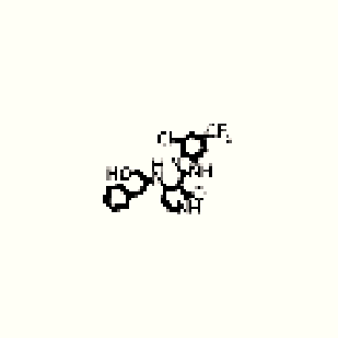 O=c1[nH]ccc(NC(CO)Cc2ccccc2)c1-c1nc2c(Cl)cc(C(F)(F)F)cc2[nH]1